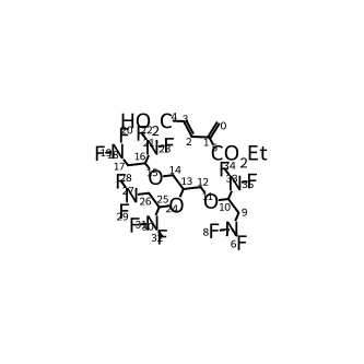 C=C(C=CC(=O)O)C(=O)OCC.FN(F)CC(OCC(COC(CN(F)F)N(F)F)OC(CN(F)F)N(F)F)N(F)F